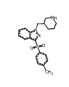 Cc1ccc(S(=O)(=O)c2nn(CC3CCCNC3)c3ccccc23)cc1